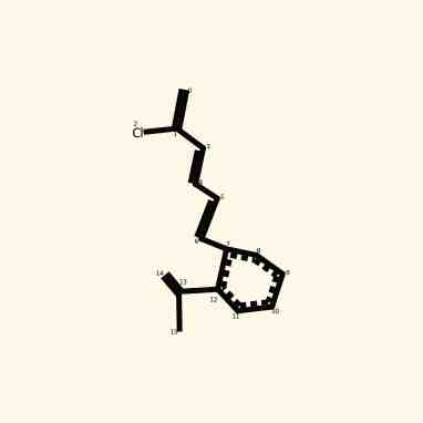 C=C(Cl)/C=C/C=C/c1ccccc1C(=C)C